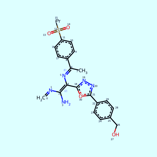 C=N/C(N)=C(\N=C(/C)c1ccc(S(=O)(=O)C(C)C)cc1)c1nnc(-c2ccc(CO)cc2)o1